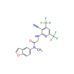 CN(C(=O)CNc1nc(C(F)(F)F)cc(C(F)(F)F)c1C#N)c1ccc2occc2c1